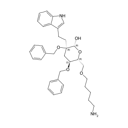 NCCCCCOC[C@H]1O[C@@H](O)[C@](CCc2c[nH]c3ccccc23)(OCc2ccccc2)C[C@@H]1OCc1ccccc1